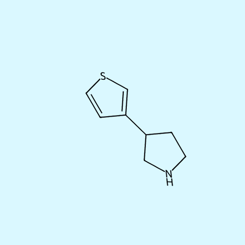 c1cc(C2CCNC2)cs1